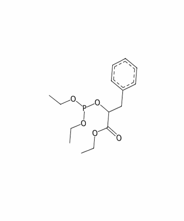 CCOC(=O)C(Cc1ccccc1)OP(OCC)OCC